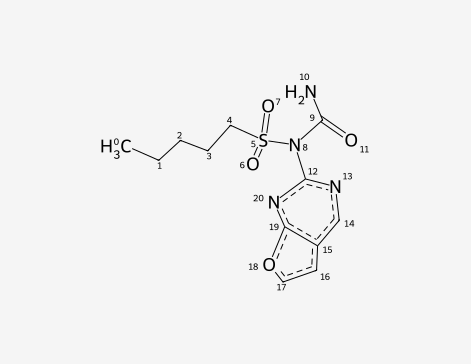 CCCCCS(=O)(=O)N(C(N)=O)c1ncc2ccoc2n1